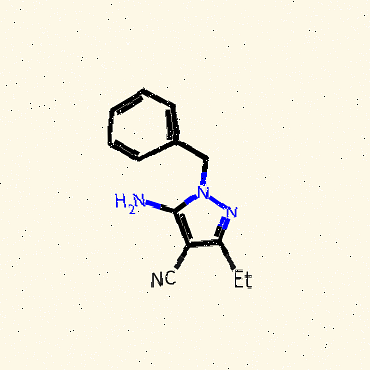 CCc1nn(Cc2ccccc2)c(N)c1C#N